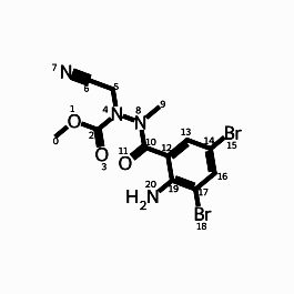 COC(=O)N(CC#N)N(C)C(=O)c1cc(Br)cc(Br)c1N